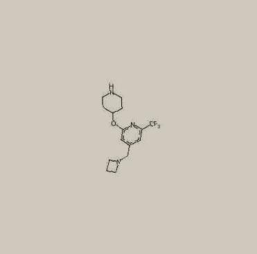 FC(F)(F)c1cc(CN2CCC2)cc(OC2CCNCC2)n1